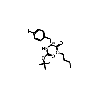 CCCCOC(=O)[C@H](Cc1ccc(I)cc1)NC(=O)OC(C)(C)C